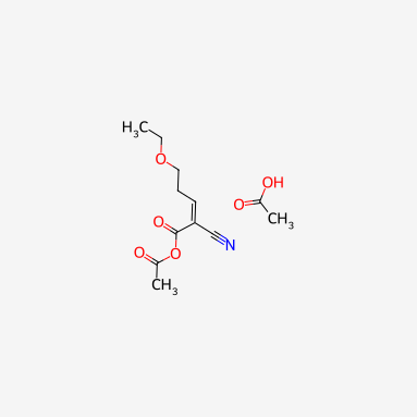 CC(=O)O.CCOCCC=C(C#N)C(=O)OC(C)=O